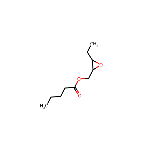 CCCCC(=O)OCC1OC1CC